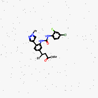 CCC(CC(=O)OC)c1ccc(-c2cnn(C(C)C)c2)c(NC(=O)Nc2ccc(Cl)cc2F)c1